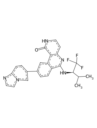 CC(C)[C@@H](Nc1nc2cc[nH]c(=O)c2c2cc(-c3ccc4nccn4c3)ccc12)C(F)(F)F